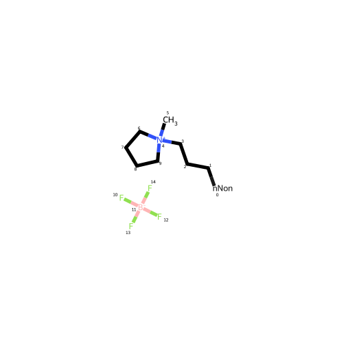 CCCCCCCCCCCC[N+]1(C)CCCC1.F[B-](F)(F)F